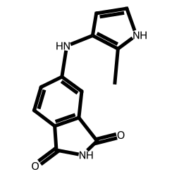 Cc1[nH]ccc1Nc1ccc2c(c1)C(=O)NC2=O